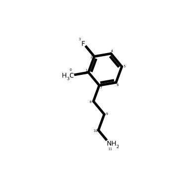 Cc1c(F)cccc1CCCN